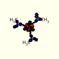 Cc1ccc(N(c2ccc(/C=C/c3ccc4c(c3)C3(c5ccccc5-c5ccccc53)c3c-4c4c(c5c3-c3ccc(/C=C/c6ccc(N(c7ccc(C)cc7)c7ccc8ccccc8c7)cc6)cc3C53c5ccccc5-c5ccccc53)-c3ccc(/C=C/c5ccc(N(c6ccc(C)cc6)c6ccc7ccccc7c6)cc5)cc3C43c4ccccc4-c4ccccc43)cc2)c2ccc3ccccc3c2)cc1